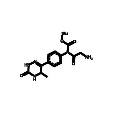 CC1NC(=O)NN=C1c1ccc(N(C(=O)CN)C(=O)OC(C)(C)C)cc1